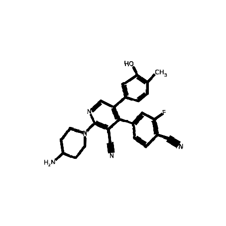 Cc1ccc(-c2cnc(N3CCC(N)CC3)c(C#N)c2-c2ccc(C#N)c(F)c2)cc1O